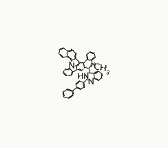 C[C@H]1c2ccccc2-c2c(cc3c4ccccc4n4c5c6ccccc6ccc5c2c34)C1C1NC(c2ccc(-c3ccccc3)cc2)=Nc2ccccc21